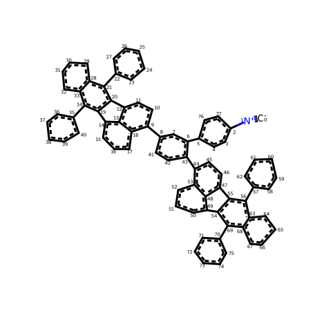 [C-]#[N+]c1ccc(-c2cc(-c3ccc4c5c(cccc35)-c3c-4c(-c4ccccc4)c4ccccc4c3-c3ccccc3)ccc2-c2ccc3c4c(cccc24)-c2c-3c(-c3ccccc3)c3ccccc3c2-c2ccccc2)cc1